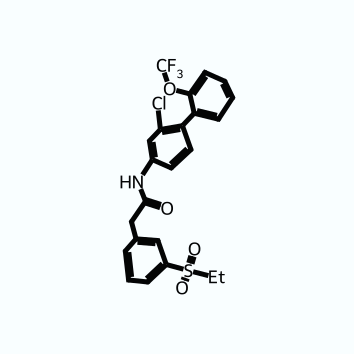 CCS(=O)(=O)c1cccc(CC(=O)Nc2ccc(-c3ccccc3OC(F)(F)F)c(Cl)c2)c1